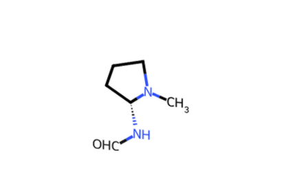 CN1CCC[C@H]1NC=O